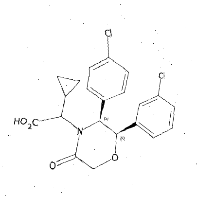 O=C(O)C(C1CC1)N1C(=O)CO[C@H](c2cccc(Cl)c2)[C@@H]1c1ccc(Cl)cc1